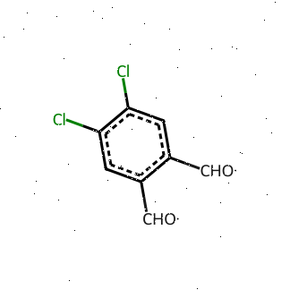 O=[C]c1cc(Cl)c(Cl)cc1[C]=O